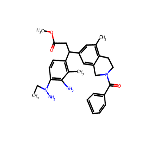 CCN(N)c1ccc(C(CC(=O)OC)c2cc(C)c3c(c2)CN(C(=O)c2ccccc2)CC3)c(C)c1N